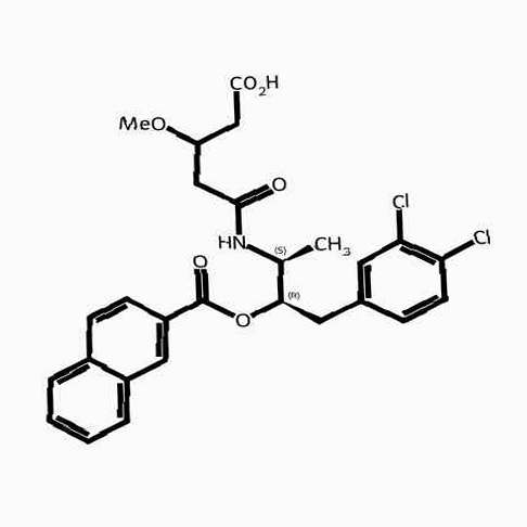 COC(CC(=O)O)CC(=O)N[C@@H](C)[C@@H](Cc1ccc(Cl)c(Cl)c1)OC(=O)c1ccc2ccccc2c1